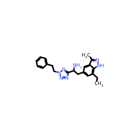 CCc1cc(CC(N)c2nnn(CCc3ccccc3)n2)cc2c(C)n[nH]c12